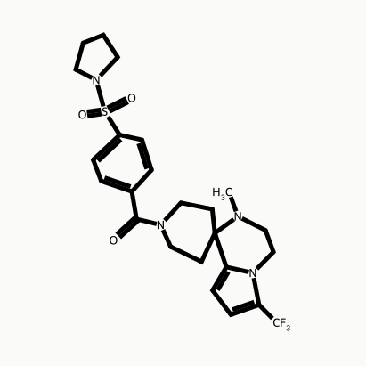 CN1CCn2c(C(F)(F)F)ccc2C12CCN(C(=O)c1ccc(S(=O)(=O)N3CCCC3)cc1)CC2